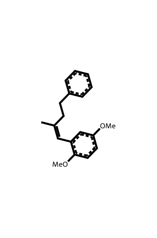 COc1ccc(OC)c(C=C(C)CCc2ccccc2)c1